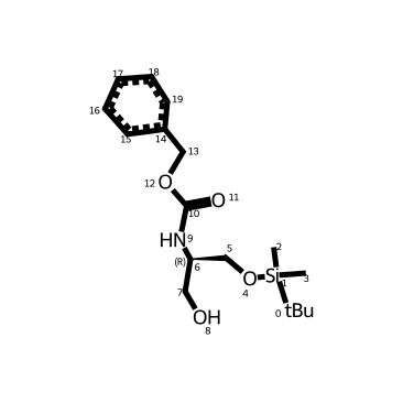 CC(C)(C)[Si](C)(C)OC[C@@H](CO)NC(=O)OCc1ccccc1